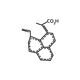 C=Cc1ccc2cccc3cc/c(=C(/C)C(=O)O)c1c23